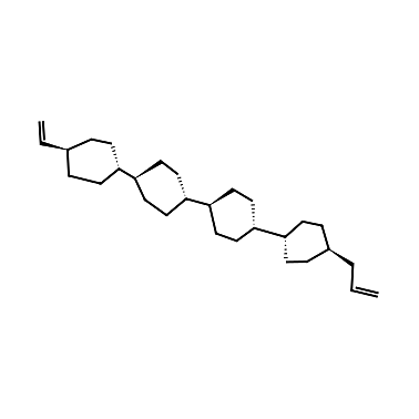 C=CC[C@H]1CC[C@H]([C@H]2CC[C@H]([C@H]3CC[C@H]([C@H]4CC[C@H](C=C)CC4)CC3)CC2)CC1